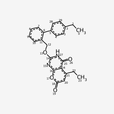 CCc1ccc(-c2ccccc2COc2nc3oc(=O)cc(CC)c3c(=O)[nH]2)cc1